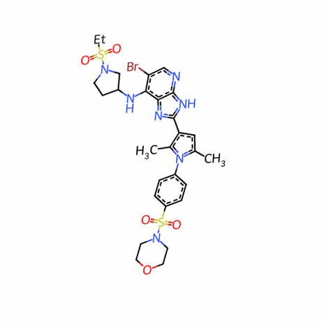 CCS(=O)(=O)N1CCC(Nc2c(Br)cnc3[nH]c(-c4cc(C)n(-c5ccc(S(=O)(=O)N6CCOCC6)cc5)c4C)nc23)C1